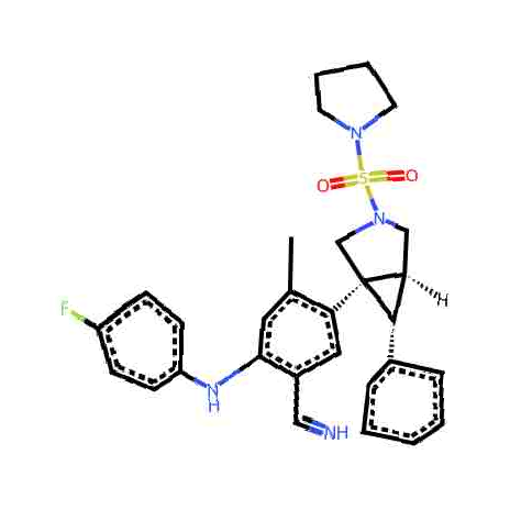 Cc1cc(Nc2ccc(F)cc2)c(C=N)cc1[C@]12CN(S(=O)(=O)N3CCCC3)C[C@H]1[C@@H]2c1ccccc1